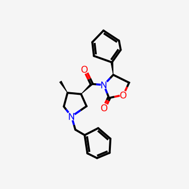 C[C@@H]1CN(Cc2ccccc2)C[C@@H]1C(=O)N1C(=O)OC[C@@H]1c1ccccc1